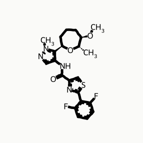 CO[C@@H]1CCC[C@H](c2c(NC(=O)c3csc(-c4c(F)cccc4F)n3)cnn2C)O[C@H]1C